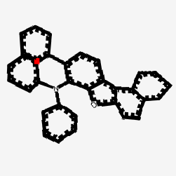 c1ccc(-c2ccc3c(oc4ccc5ccccc5c43)c2N(c2ccccc2)c2ccccc2)cc1